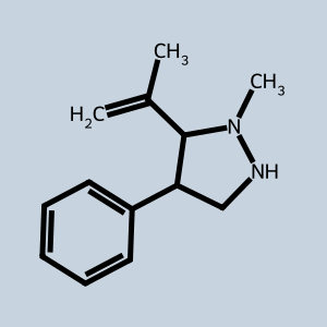 C=C(C)C1C(c2ccccc2)CNN1C